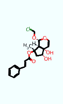 C[C@]1(OC(=O)/C=C/c2ccccc2)C[C@@H](O)[C@]2(O)C=CO[C@@H](OCCl)[C@@H]21